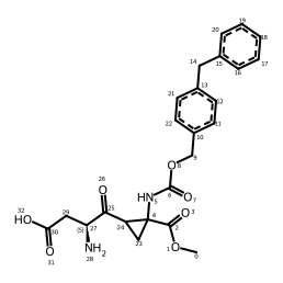 COC(=O)C1(NC(=O)OCc2ccc(Cc3ccccc3)cc2)CC1C(=O)[C@@H](N)CC(=O)O